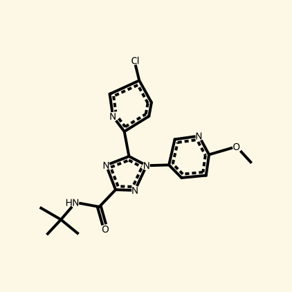 COc1ccc(-n2nc(C(=O)NC(C)(C)C)nc2-c2ccc(Cl)cn2)cn1